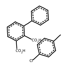 Cc1ccc(Cl)cc1.O=C(O)c1cccc(-c2ccccc2)c1C(=O)O